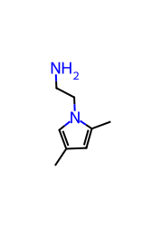 Cc1cc(C)n(CCN)c1